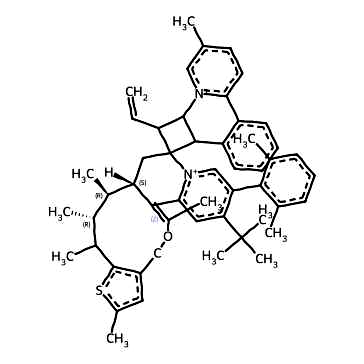 C=CC1C2C(c3ccccc3-c3ccc(C)c[n+]32)C12C[C@@H]1/C(=C(\C)OCc3cc(C)sc3C(C)[C@H](C)[C@H]1C)c1cc(C(C)(C)C)c(-c3c(C)cccc3C)c[n+]12